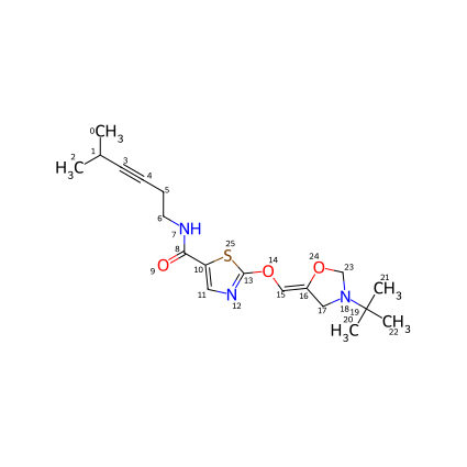 CC(C)C#CCCNC(=O)c1cnc(O/C=C2/CN(C(C)(C)C)CO2)s1